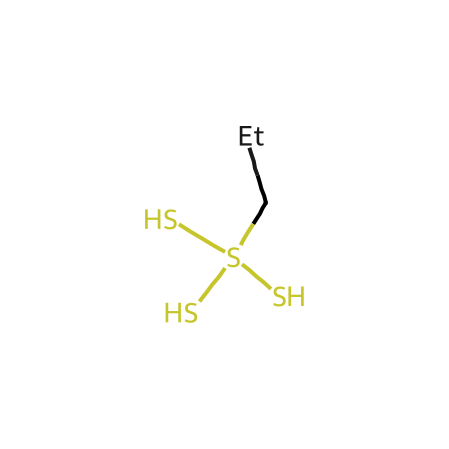 CCCS(S)(S)S